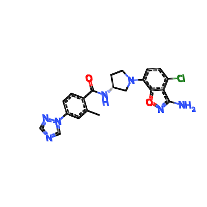 Cc1cc(-n2cncn2)ccc1C(=O)N[C@@H]1CCN(c2ccc(Cl)c3c(N)noc23)C1